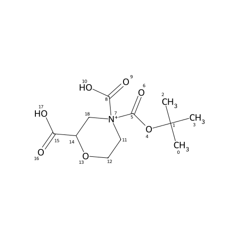 CC(C)(C)OC(=O)[N+]1(C(=O)O)CCOC(C(=O)O)C1